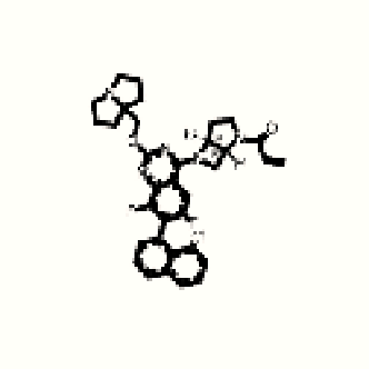 C=CC(=O)N1CC[C@H]2[C@H]1CN2c1nc(OCC23CCCN2CCC3)nc2c(F)c(-c3cccc4cccc(Cl)c34)c(F)cc12